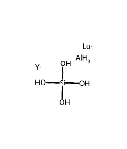 O[Si](O)(O)O.[AlH3].[Lu].[Y]